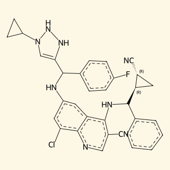 N#Cc1cnc2c(Cl)cc(NC(C3=CN(C4CC4)NN3)c3ccc(F)cc3)cc2c1NC(c1ccccc1)[C@@H]1C[C@H]1C#N